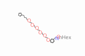 CCCCCCO/N=C/c1cccc(OCCOCCOCCOCCOCCOCCCCC2=CCC=C2)c1